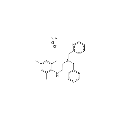 Cc1cc(C)c(NCCN(Cc2ccccn2)Cc2ccccn2)c(C)c1.[Cl-].[Cl-].[Ru+2]